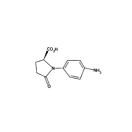 Nc1ccc(N2C(=O)CC[C@H]2C(=O)O)cc1